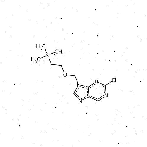 C[Si](C)(C)CCOCn1cnc2cnc(Cl)nc21